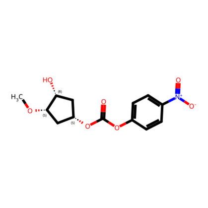 CO[C@H]1C[C@@H](OC(=O)Oc2ccc([N+](=O)[O-])cc2)C[C@H]1O